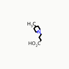 CC1CCN(CCCC(=O)O)CC1